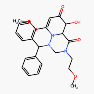 COCCN1CN(C(c2ccccc2)c2ccccc2)N2C(COC)=CC(=O)C(O)C2C1=O